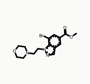 COC(=O)c1cc(Br)c2c(cnn2CCN2CCOCC2)c1